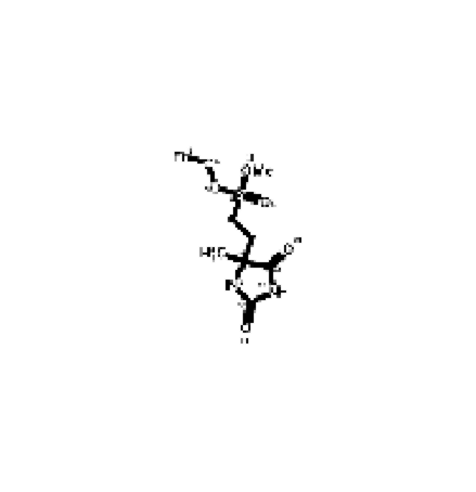 CCOOP(=O)(CCC1(C)NC(=O)NC1=O)OC